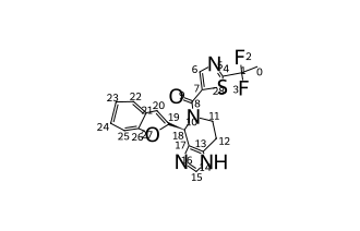 CC(F)(F)c1ncc(C(=O)N2CCc3[nH]cnc3[C@H]2c2cc3ccccc3o2)s1